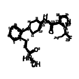 O=C(C=Cc1ccccc1N1CCC(NC(=O)c2ccnn2C(F)F)CC1)NO